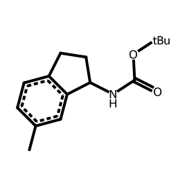 Cc1ccc2c(c1)C(NC(=O)OC(C)(C)C)CC2